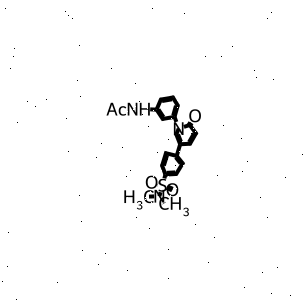 CC(=O)Nc1cccc(-n2cc(-c3ccc(S(=O)(=O)N(C)C)cc3)ccc2=O)c1